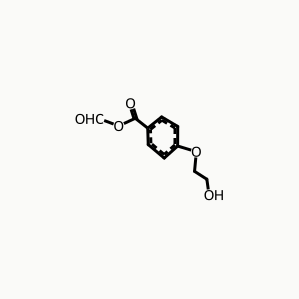 O=COC(=O)c1ccc(OCCO)cc1